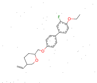 C=CC1CCC(COc2ccc(-c3ccc(OCC)c(F)c3)cc2)OC1